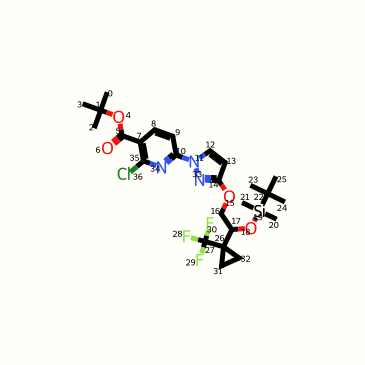 CC(C)(C)OC(=O)c1ccc(-n2ccc(OCC(O[Si](C)(C)C(C)(C)C)C3(C(F)(F)F)CC3)n2)nc1Cl